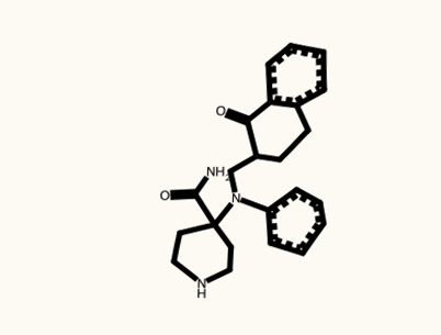 NC(=O)C1(N(CC2CCc3ccccc3C2=O)c2ccccc2)CCNCC1